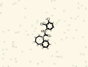 O=C(Nc1cccc(Cl)c1Cl)N1CCCCc2ccccc21